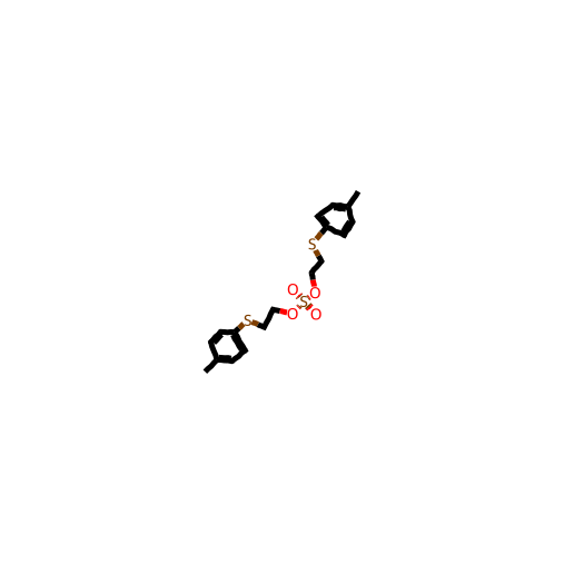 Cc1ccc(SCCOS(=O)(=O)OCCSc2ccc(C)cc2)cc1